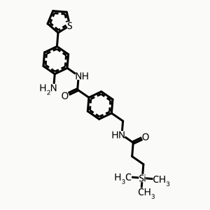 C[Si](C)(C)CCC(=O)NCc1ccc(C(=O)Nc2cc(-c3cccs3)ccc2N)cc1